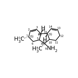 C[C@@H]1C=C[C@H]2C(C1)[C@](C)(N)C1CCC=C[C@H]12